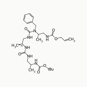 C=CCOC(=O)NCC(C)N(Cc1ccccc1)C(=O)NC[C@H](C)NC(=O)NCC(C)NC(=O)OC(C)(C)C